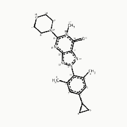 Cc1cc(C2CC2)cc(C)c1-n1nc2nc(N3CCOCC3)n(C)c(=O)c2n1